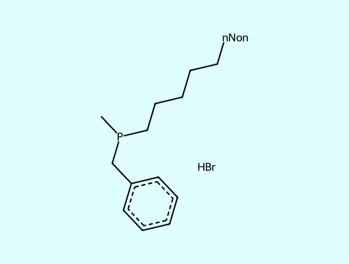 Br.CCCCCCCCCCCCCCP(C)Cc1ccccc1